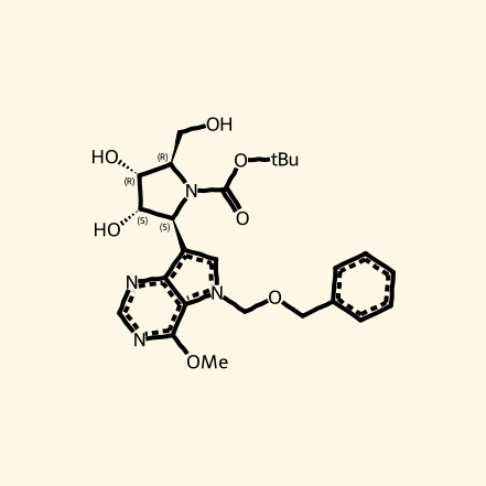 COc1ncnc2c([C@H]3[C@H](O)[C@H](O)[C@@H](CO)N3C(=O)OC(C)(C)C)cn(COCc3ccccc3)c12